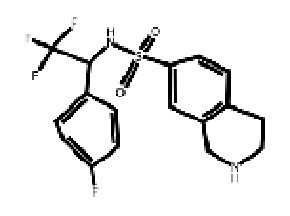 O=S(=O)(NC(c1ccc(F)cc1)C(F)(F)F)c1ccc2c(c1)CNCC2